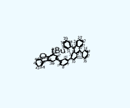 CC(C)(C)c1cc(-c2cccc(-c3ccc4c(-c5ccccc5)c5ccccc5c(-c5ccccc5)c4c3)c2)cc2c1oc1ccccc12